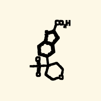 CS(=O)(=O)C1(c2ccc3sc(C(=O)O)cc3c2)CCOCC1